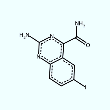 NC(=O)c1nc(N)nc2ccc(I)cc12